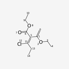 C=C(OCC)/C(C(=O)OCC)=C(/Cl)CC